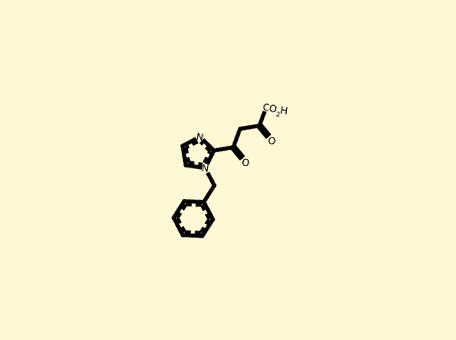 O=C(O)C(=O)CC(=O)c1nccn1Cc1ccccc1